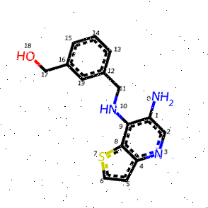 Nc1cnc2ccsc2c1NCc1cccc(CO)c1